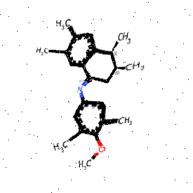 COc1c(C)cc(/N=C2\C[C@H](C)[C@H](C)c3cc(C)c(C)cc32)cc1C